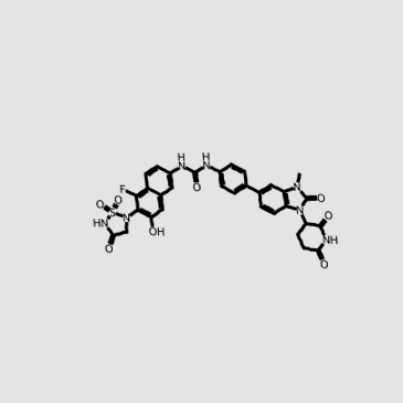 Cn1c(=O)n(C2CCC(=O)NC2=O)c2ccc(-c3ccc(NC(=O)Nc4ccc5c(F)c(N6CC(=O)NS6(=O)=O)c(O)cc5c4)cc3)cc21